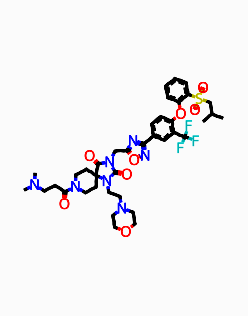 CC(C)CS(=O)(=O)c1ccccc1Oc1ccc(-c2noc(CN3C(=O)N(CCN4CCOCC4)C4(CCN(C(=O)CCN(C)C)CC4)C3=O)n2)cc1C(F)(F)F